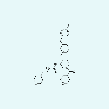 O=C(NCCN1CCOCC1)N[C@H]1CN(C(=O)C2CCOCC2)CC[C@H]1CN1CCCC(Cc2ccc(F)cc2)C1